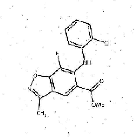 COC(=O)c1cc2c(C)noc2c(F)c1Nc1ccccc1Cl